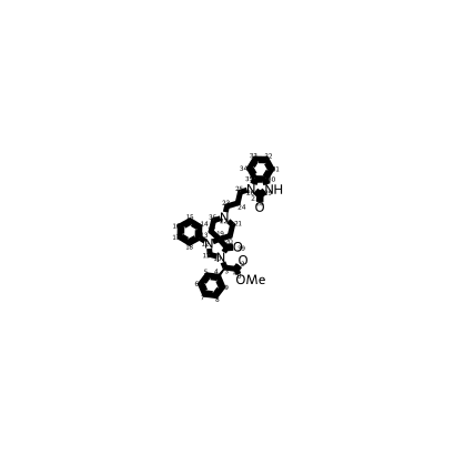 COC(=O)[C@@H](c1ccccc1)N1CN(c2ccccc2)C2(CCN(CCCn3c(=O)[nH]c4ccccc43)CC2)C1=O